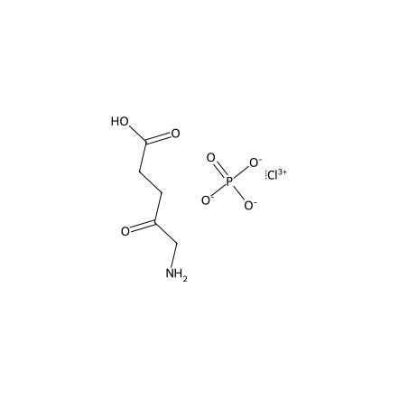 NCC(=O)CCC(=O)O.O=P([O-])([O-])[O-].[Cl+3]